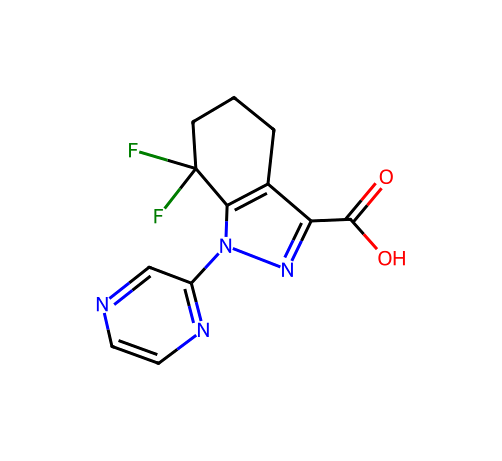 O=C(O)c1nn(-c2cnccn2)c2c1CCCC2(F)F